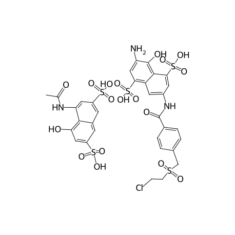 CC(=O)Nc1cc(S(=O)(=O)O)cc2cc(S(=O)(=O)O)cc(O)c12.Nc1cc(S(=O)(=O)O)c2cc(NC(=O)c3ccc(CS(=O)(=O)CCCl)cc3)cc(S(=O)(=O)O)c2c1O